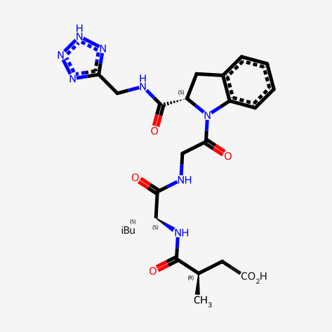 CC[C@H](C)[C@H](NC(=O)[C@H](C)CC(=O)O)C(=O)NCC(=O)N1c2ccccc2C[C@H]1C(=O)NCc1nn[nH]n1